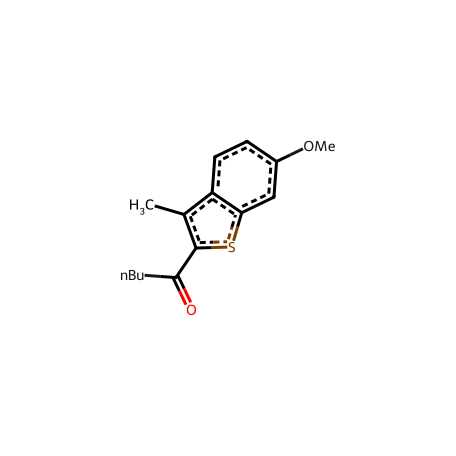 CCCCC(=O)c1sc2cc(OC)ccc2c1C